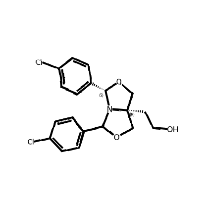 OCC[C@]12COC(c3ccc(Cl)cc3)N1[C@H](c1ccc(Cl)cc1)OC2